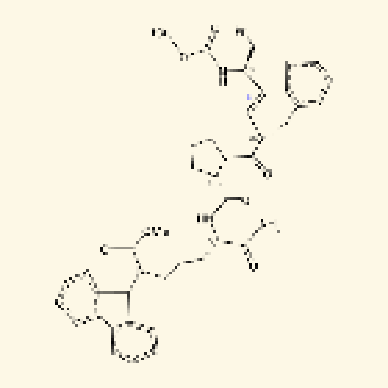 COC(=O)N(CCC[C@H](NC(=O)[C@@H]1CCCN1C(=O)[C@H](/C=C/[C@H](CC(C)C)NC(=O)OC(C)(C)C)Cc1ccccc1)C(N)=O)C1c2ccccc2-c2ccccc21